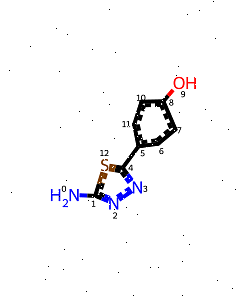 Nc1nnc(-c2ccc(O)cc2)s1